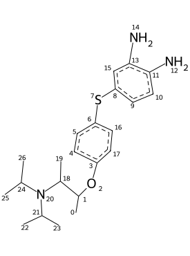 CC(Oc1ccc(Sc2ccc(N)c(N)c2)cc1)C(C)N(C(C)C)C(C)C